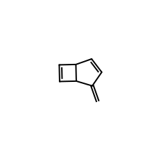 C=C1C=CC2C=CC12